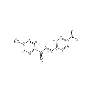 CN(C)c1ccc(/C=C/C(=O)c2ccc(O)cc2)cc1